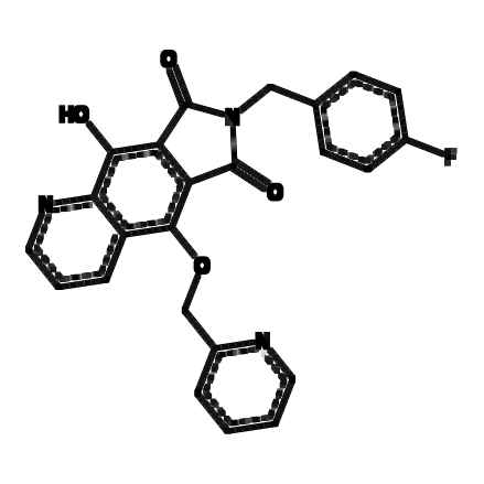 O=C1c2c(c(O)c3ncccc3c2OCc2ccccn2)C(=O)N1Cc1ccc(F)cc1